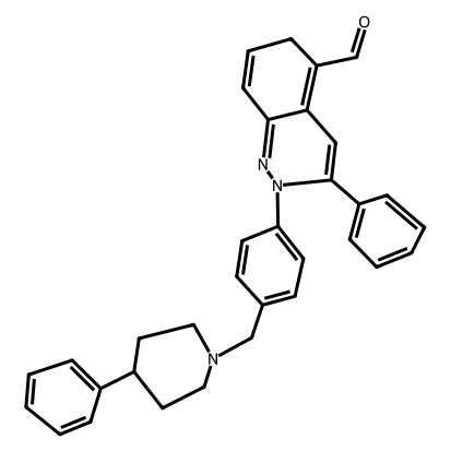 O=CC1=C2C=C(c3ccccc3)N(c3ccc(CN4CCC(c5ccccc5)CC4)cc3)N=C2C=CC1